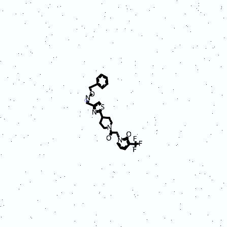 O=C(Cn1cccc(C(F)(F)F)c1=O)N1CCC(c2nc(/C=N\OCc3ccccc3)cs2)CC1